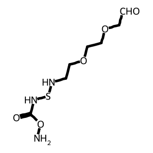 NOC(=O)NSNCCOCCOCC=O